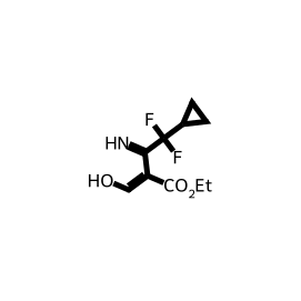 CCOC(=O)/C(=C/O)C(=N)C(F)(F)C1CC1